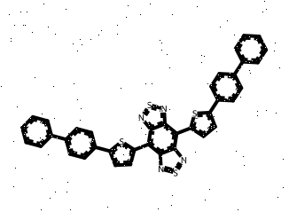 c1ccc(-c2ccc(-c3ccc(-c4c5c(c(-c6ccc(-c7ccc(-c8ccccc8)cc7)s6)c6nsnc46)N=S=N5)s3)cc2)cc1